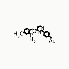 CC(=O)Cc1ccc(-c2nccc(OCc3ccc(C)cc3P)n2)cc1